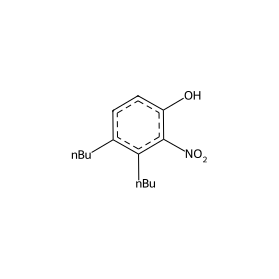 CCCCc1ccc(O)c([N+](=O)[O-])c1CCCC